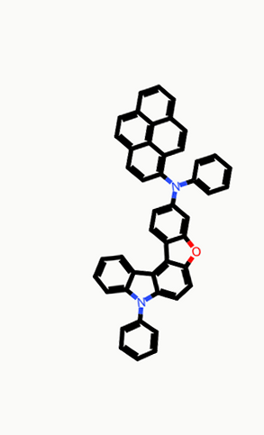 c1ccc(N(c2ccc3c(c2)oc2ccc4c(c5ccccc5n4-c4ccccc4)c23)c2ccc3ccc4cccc5ccc2c3c45)cc1